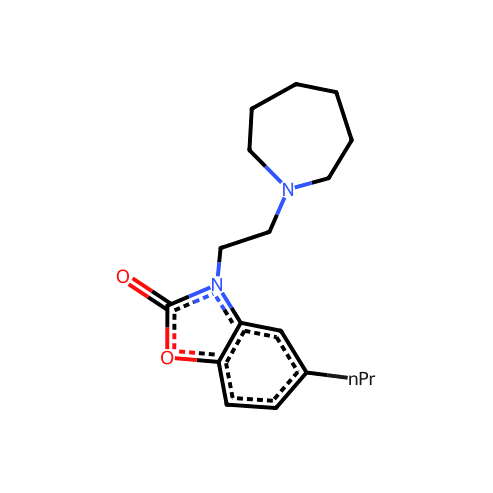 CCCc1ccc2oc(=O)n(CCN3CCCCCC3)c2c1